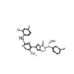 Cc1cnc(Nc2ccc(F)cc2Cl)nc1-c1cc2n(c1)CCN([C@H](CO)c1cccc(F)c1)C2=O